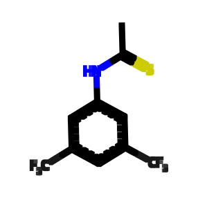 CC(=S)Nc1cc(C(F)(F)F)cc(C(F)(F)F)c1